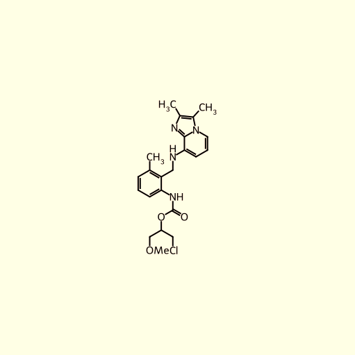 COCC(CCl)OC(=O)Nc1cccc(C)c1CNc1cccn2c(C)c(C)nc12